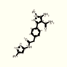 CC(C)c1cc(NC(=O)Cc2ccc(-c3nn(C(C)C)c(N)c3C(N)=O)cc2)no1